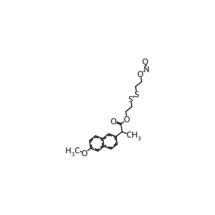 COc1ccc2cc(C(C)C(=O)OCCSSCCON=O)ccc2c1